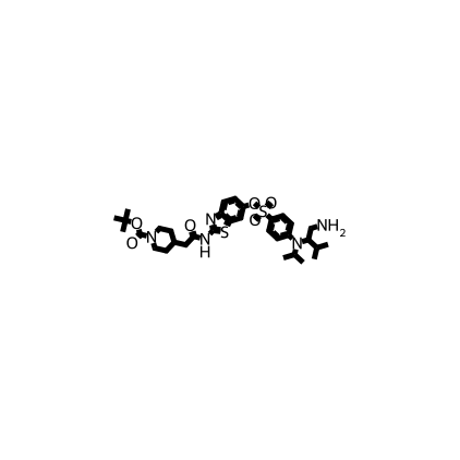 CC(C)C(CN)N(c1ccc(S(=O)(=O)Oc2ccc3nc(NC(=O)CC4CCN(C(=O)OC(C)(C)C)CC4)sc3c2)cc1)C(C)C